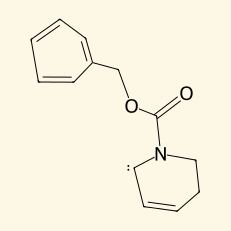 O=C(OCc1ccccc1)N1[C]C=CCC1